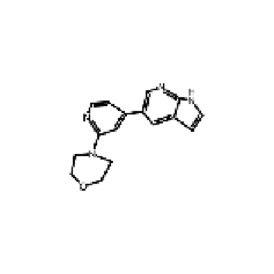 c1cc(-c2cnc3[nH]ccc3c2)cc(N2CCOCC2)n1